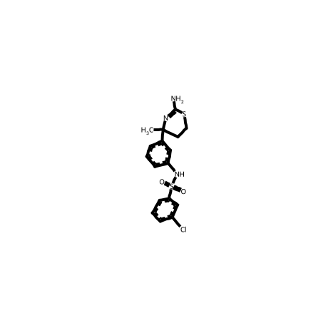 CC1(c2cccc(NS(=O)(=O)c3cccc(Cl)c3)c2)CCSC(N)=N1